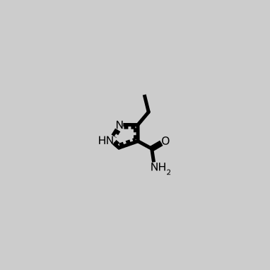 CCc1n[nH]cc1C(N)=O